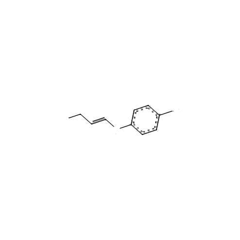 SC/C=C/Oc1ccc(I)cc1